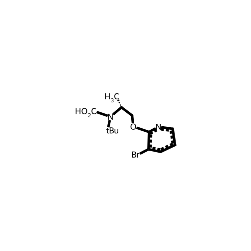 C[C@H](COc1ncccc1Br)N(C(=O)O)C(C)(C)C